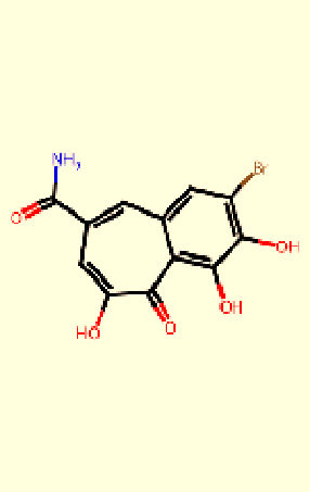 NC(=O)c1cc(O)c(=O)c2c(O)c(O)c(Br)cc2c1